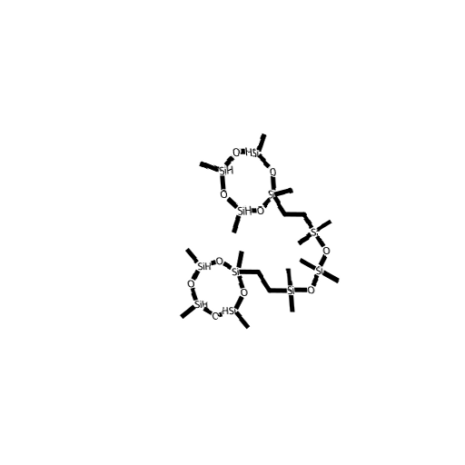 C[SiH]1O[SiH](C)O[Si](C)(CC[Si](C)(C)O[Si](C)(C)O[Si](C)(C)CC[Si]2(C)O[SiH](C)O[SiH](C)O[SiH](C)O2)O[SiH](C)O1